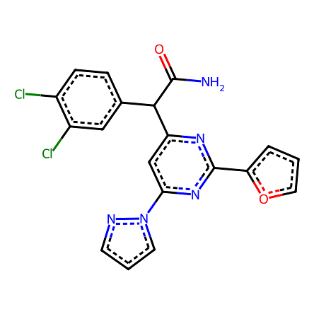 NC(=O)C(c1ccc(Cl)c(Cl)c1)c1cc(-n2cccn2)nc(-c2ccco2)n1